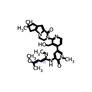 C=N/C(=C\C=C(/C)OC)Nc1cc(-c2ccnc(N3CCn4c(cc5c4CC(C)(C)C5)C3=O)c2CO)cn(C)c1=O